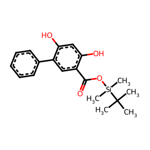 CC(C)(C)[Si](C)(C)OC(=O)c1cc(-c2ccccc2)c(O)cc1O